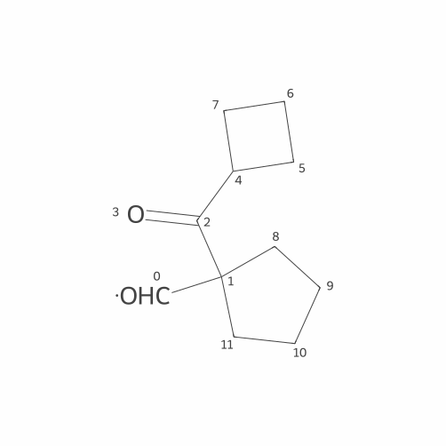 O=[C]C1(C(=O)C2CCC2)CCCC1